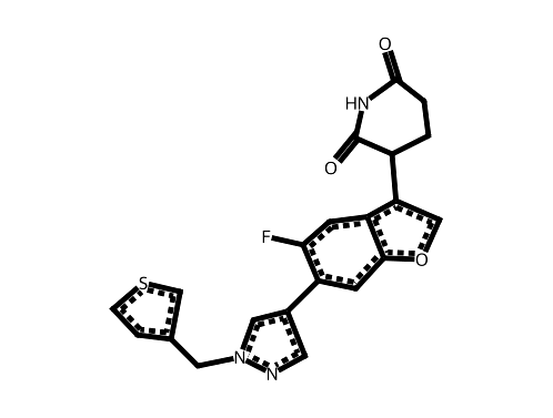 O=C1CCC(c2coc3cc(-c4cnn(Cc5ccsc5)c4)c(F)cc23)C(=O)N1